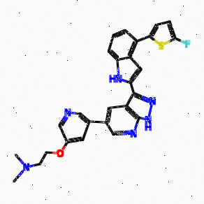 CN(C)CCOc1cncc(-c2cnc3[nH]nc(-c4cc5c(-c6ccc(F)s6)cccc5[nH]4)c3c2)c1